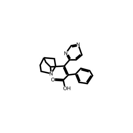 O=C(O)C(=C(c1ccncn1)C1CC2CCN1CC2)c1ccccc1